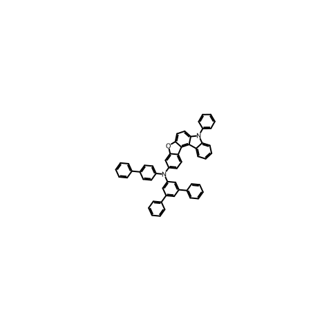 c1ccc(-c2ccc(N(c3cc(-c4ccccc4)cc(-c4ccccc4)c3)c3ccc4c(c3)oc3ccc5c(c6ccccc6n5-c5ccccc5)c34)cc2)cc1